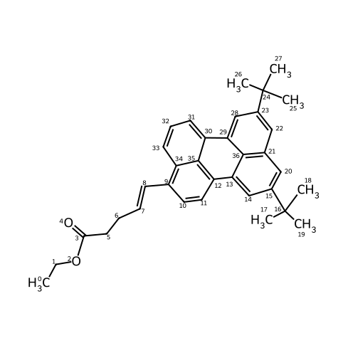 CCOC(=O)CC/C=C/c1ccc2c3cc(C(C)(C)C)cc4cc(C(C)(C)C)cc(c5cccc1c52)c43